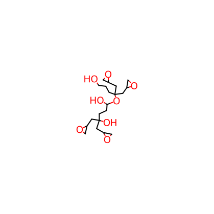 OCCCC(CC1CO1)(CC1CO1)OC(O)CCC(O)(CC1CO1)CC1CO1